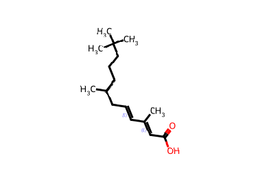 CC(/C=C/CC(C)CCCC(C)(C)C)=C\C(=O)O